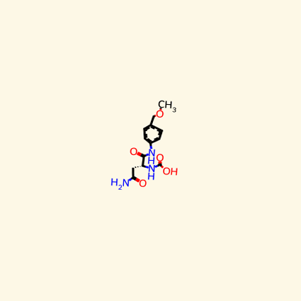 COCc1ccc(NC(=O)[C@@H](CC(N)=O)NC(=O)O)cc1